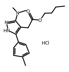 CCCCOC(=O)Cc1c(N(C)C)n[nH]c1-c1ccc(C)cc1.Cl